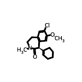 COc1cc2c(cc1Cl)CCN(C)C(=O)[C@@H]2C1=CCCCC1